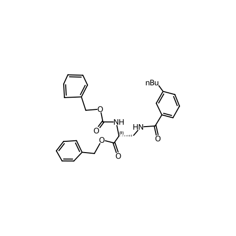 CCCCc1cccc(C(=O)NC[C@@H](NC(=O)OCc2ccccc2)C(=O)OCc2ccccc2)c1